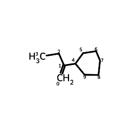 C=C(CC)C1CCCCC1